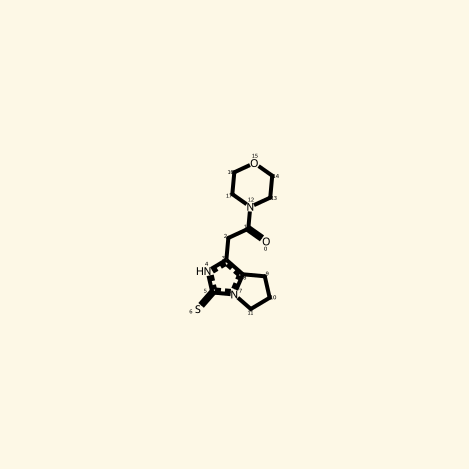 O=C(Cc1[nH]c(=S)n2c1CCC2)N1CCOCC1